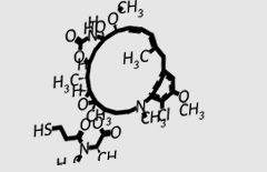 COc1cc2cc(c1Cl)N(C)CC[C@H](OC(=O)[C@H](C)N(C)C(=O)CCS)[C@]1(C)O[C@H]1[C@H](C)[C@@H]1C[C@@](O)(NC(=O)O1)[C@@H](OC)/C=C\C=C(/C)C2